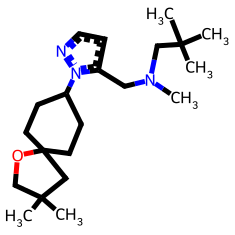 CN(Cc1ccnn1C1CCC2(CC1)CC(C)(C)CO2)CC(C)(C)C